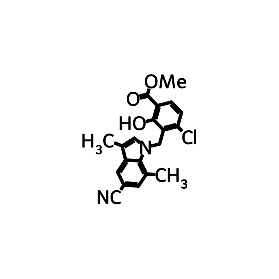 COC(=O)c1ccc(Cl)c(Cn2cc(C)c3cc(C#N)cc(C)c32)c1O